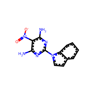 Nc1nc(-n2ccc3ccccc32)nc(N)c1[N+](=O)[O-]